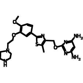 COc1ccc(-c2nc(COc3nc(N)cc(N)n3)c(C)s2)cc1OCCN1CCNCC1